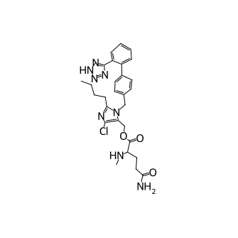 CCCCc1nc(Cl)c(COC(=O)C(CCC(N)=O)NC)n1Cc1ccc(-c2ccccc2-c2nn[nH]n2)cc1